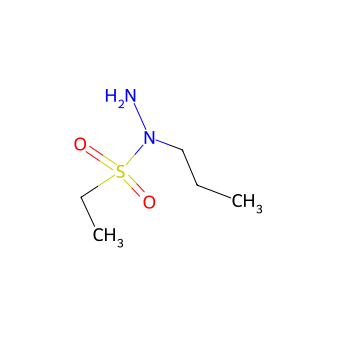 CCCN(N)S(=O)(=O)CC